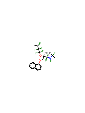 CCC(COc1cccc2ccccc12)(OC(F)(F)C(F)(F)C(C)F)C(F)(F)N(F)C(C)(F)C(F)(F)F